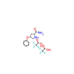 NC(=O)C1CC(Oc2ccccc2)CN1.O=C(O)C(F)(F)F.O=C(O)C(F)(F)F